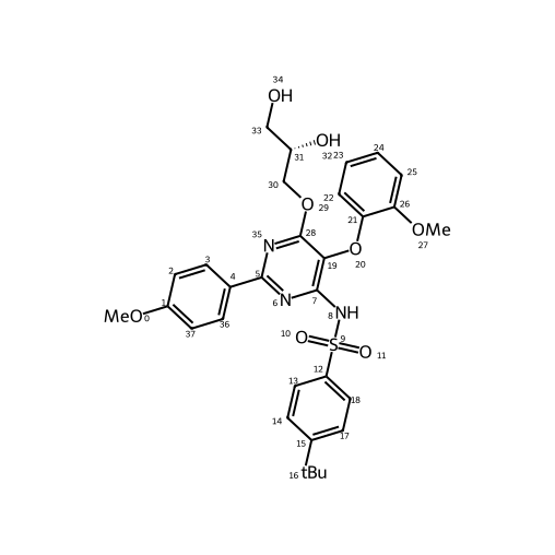 COc1ccc(-c2nc(NS(=O)(=O)c3ccc(C(C)(C)C)cc3)c(Oc3ccccc3OC)c(OC[C@@H](O)CO)n2)cc1